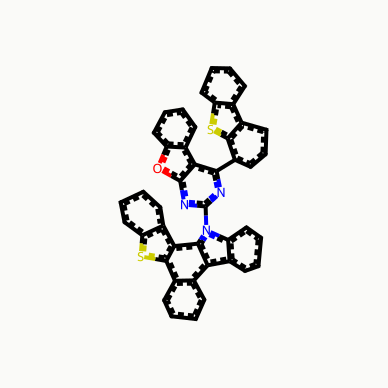 c1ccc2c(c1)oc1nc(-n3c4ccccc4c4c5ccccc5c5sc6ccccc6c5c43)nc(-c3cccc4c3sc3ccccc34)c12